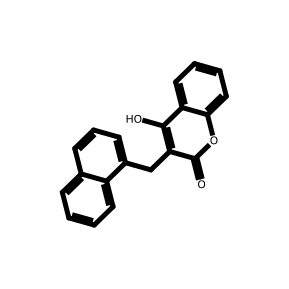 O=c1oc2ccccc2c(O)c1Cc1cccc2ccccc12